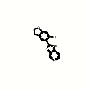 Clc1cc2c(cc1-c1nc3cnccc3[nH]1)CCO2